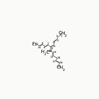 C=CCC=C/[C]=C(\C=CC=CCC)C(=C)C=CCC=CC